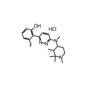 CC1C(N(C)c2ccc(-c3c(O)cccc3F)nn2)CCN(C)C1(C)C.Cl